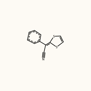 N#CC(=C1SC=CS1)c1ccccc1